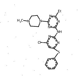 CCc1nc(Nc2nc(Cl)cc(Sc3ccccc3)n2)nc(N2CCN(C)CC2)n1